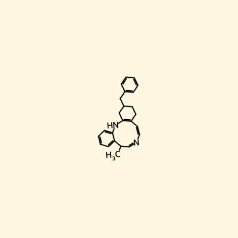 CC1C=NC=CC2=C(CC(Cc3ccccc3)CC2)Nc2ccccc21